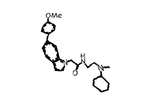 COc1ccc(-c2ccc3ccn(CC(=O)NCCN(C)C4CCCCC4)c3c2)cc1